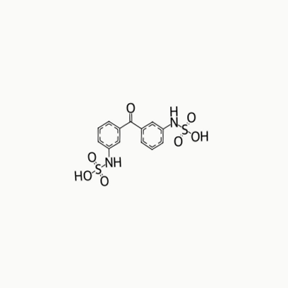 O=C(c1cccc(NS(=O)(=O)O)c1)c1cccc(NS(=O)(=O)O)c1